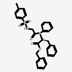 Cc1ccc(S(=O)(=O)NCC(=O)N(c2ccccc2)[C@@H](Cc2ccccc2)C(=O)OCc2ccccc2)cc1